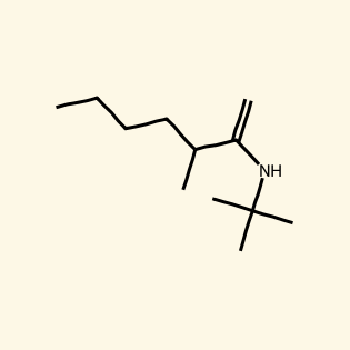 C=C(NC(C)(C)C)C(C)CCCC